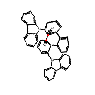 N#Cc1cccc(-n2c3ccccc3c3ccccc32)c1-c1ccccc1-c1cccc(-n2c3ccccc3c3ccccc32)c1C#N